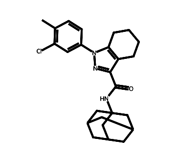 Cc1ccc(-n2nc(C(=O)NC34CC5CC(CC(C5)C3)C4)c3c2CCCC3)cc1Cl